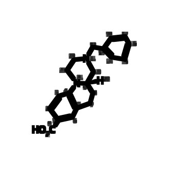 O=C(O)c1ccc2c(c1)CC[C@H]1CN(Cc3ccccc3)CCN21